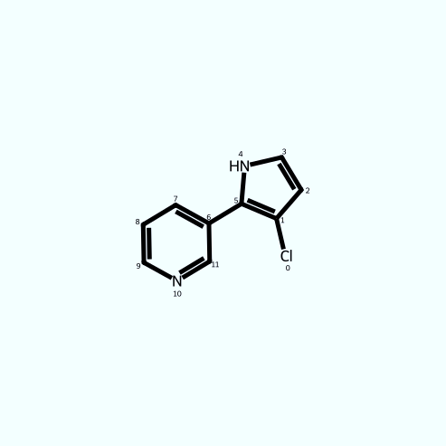 Clc1cc[nH]c1-c1cccnc1